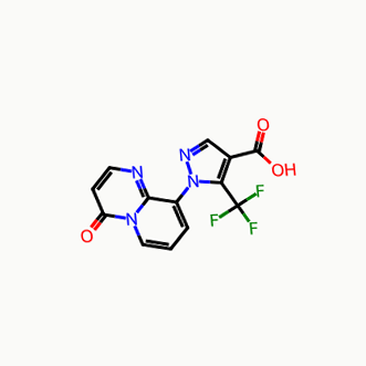 O=C(O)c1cnn(-c2cccn3c(=O)ccnc23)c1C(F)(F)F